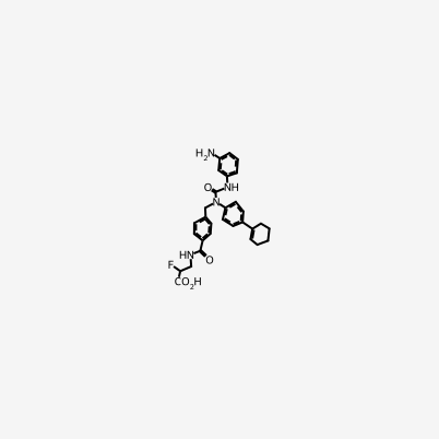 Nc1cccc(NC(=O)N(Cc2ccc(C(=O)NCC(F)C(=O)O)cc2)c2ccc(C3=CCCCC3)cc2)c1